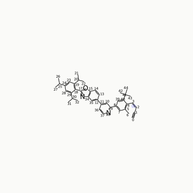 C#C/C=C\c1c(C)cc(-c2cc(-c3ccc4oc(-c5c(C(C)C)cc(C(C)C)cc5C(C)C)nc4c3)ccn2)cc1C(C)(C)C